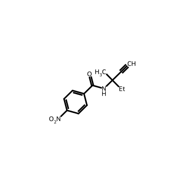 C#CC(C)(CC)NC(=O)c1ccc([N+](=O)[O-])cc1